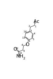 CC(=O)CCc1ccc(OCCC(N)=O)cc1